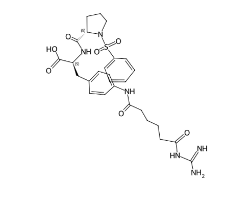 N=C(N)NC(=O)CCCCC(=O)Nc1ccc(C[C@H](NC(=O)[C@@H]2CCCN2S(=O)(=O)c2ccccc2)C(=O)O)cc1